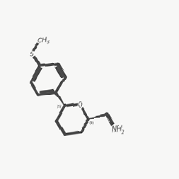 CSc1ccc([C@@H]2CCC[C@H](CN)O2)cc1